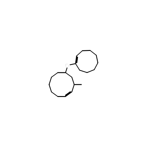 CC1/C=C\CCCCCC(N/C2=C/CCCCCCC2)C1